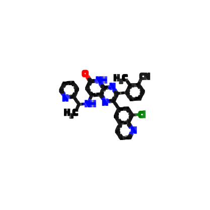 Cc1c(C#N)cccc1-c1nc2[nH]c(=O)cc(NC(C)c3ccccn3)c2nc1-c1cc(Cl)c2ncccc2c1